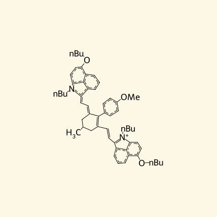 CCCCOc1ccc2c3c(cccc13)C(/C=C/C1=C(c3ccc(OC)cc3)C(=C/C=c3\c4cccc5c(OCCCC)ccc(c54)n3CCCC)/CC(C)C1)=[N+]2CCCC